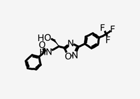 O=C(N[C@@H](CO)c1nc(-c2ccc(C(F)(F)F)cc2)no1)c1ccccc1